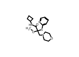 COC(CN1CCOCC1)(Sc1ccccn1)C(=O)NC1CCC1